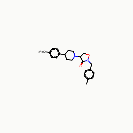 COc1ccc(C2CCN(C3CON(Cc4ccc(C)cc4)C3=O)CC2)cc1